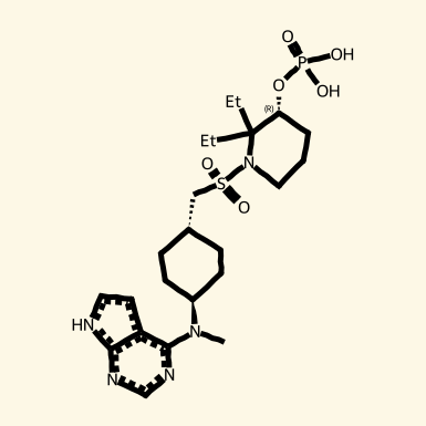 CCC1(CC)[C@H](OP(=O)(O)O)CCCN1S(=O)(=O)C[C@H]1CC[C@H](N(C)c2ncnc3[nH]ccc23)CC1